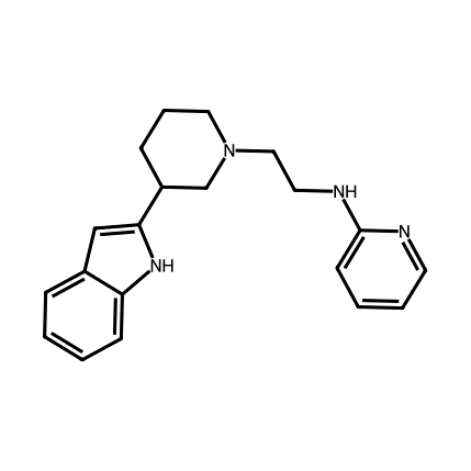 c1ccc(NCCN2CCCC(c3cc4ccccc4[nH]3)C2)nc1